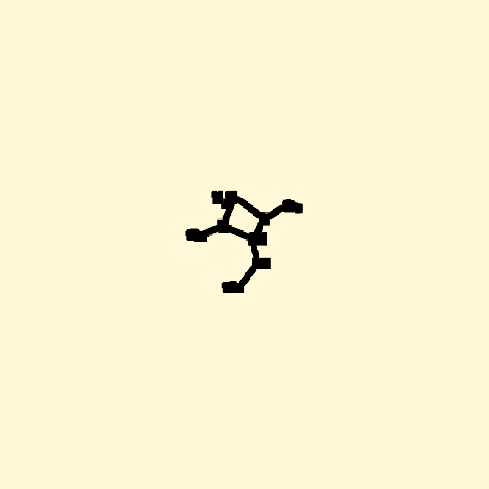 CC(C)(C)N[SiH]1N(C(C)(C)C)[SiH2]N1C(C)(C)C